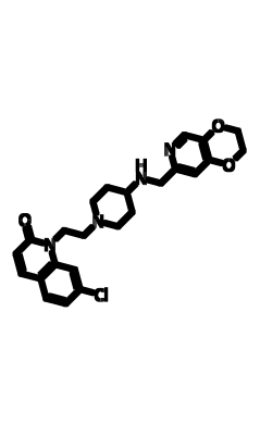 O=c1ccc2ccc(Cl)cc2n1CCN1CCC(NCc2cc3c(cn2)OCCO3)CC1